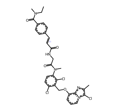 CCN(C)C(=O)c1ccc(/C=C/C(=O)NCC(=O)N(C)c2ccc(Cl)c(COc3cccn4c(Cl)c(C)nc34)c2Cl)cc1